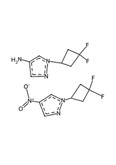 Nc1cnn(C2CC(F)(F)C2)c1.O=[N+]([O-])c1cnn(C2CC(F)(F)C2)c1